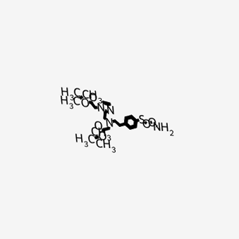 CC(C)(C)OC(=O)CN(CCc1ccc(SOON)cc1)Cc1nccn1CC(=O)OC(C)(C)C